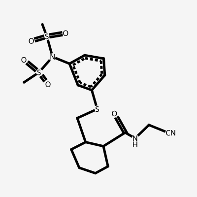 CS(=O)(=O)N(c1cccc(SCC2CCCCC2C(=O)NCC#N)c1)S(C)(=O)=O